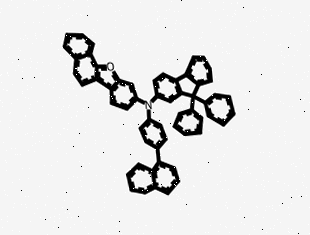 c1ccc(C2(c3ccccc3)c3ccccc3-c3ccc(N(c4ccc(-c5cccc6ccccc56)cc4)c4ccc5c(c4)oc4c6ccccc6ccc54)cc32)cc1